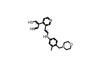 Cc1cc(N/C=C/c2cnccc2/C(C=N)=C/S)ccc1CN1CCOCC1